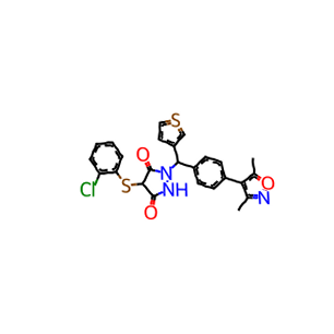 Cc1noc(C)c1-c1ccc(C(c2ccsc2)N2NC(=O)C(Sc3ccccc3Cl)C2=O)cc1